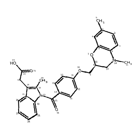 Cc1ccc2c(c1)O[C@H](COc1ccc(C(=O)n3c(C)c(CC(=O)O)c4ccccc43)cc1)CN2C